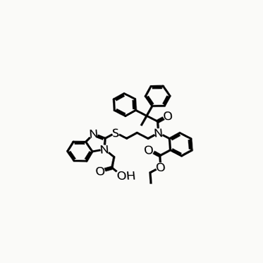 CCOC(=O)c1ccccc1N(CCCSc1nc2ccccc2n1CC(=O)O)C(=O)C(C)(c1ccccc1)c1ccccc1